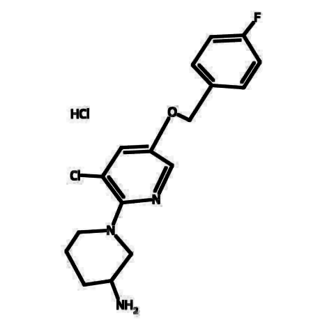 Cl.NC1CCCN(c2ncc(OCc3ccc(F)cc3)cc2Cl)C1